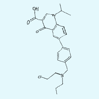 CCCN(CCCl)Cc1ccc(-c2ccc3c(c2)c(=O)c(C(=O)O)cn3C(C)C)cc1